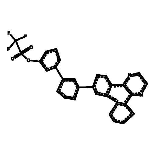 O=S(=O)(Oc1cccc(-c2cccc(-c3ccc4c(c3)c3ccccc3c3nccnc43)c2)c1)C(F)(F)F